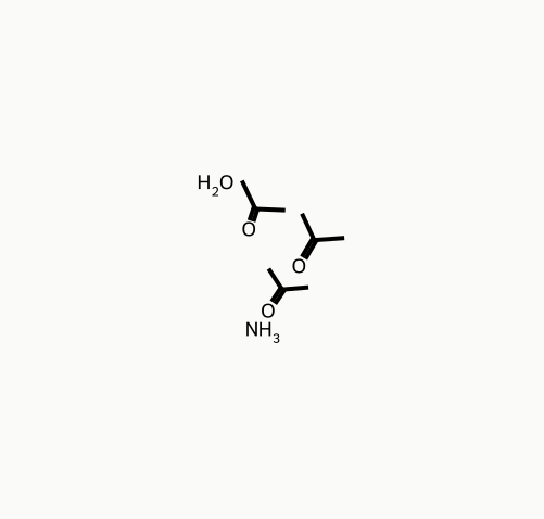 CC(C)=O.CC(C)=O.CC(C)=O.N.O